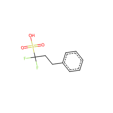 O=S(=O)(O)C(F)(F)CCc1ccccc1